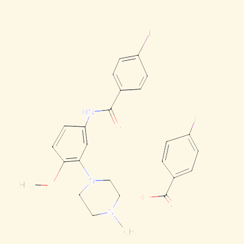 COc1ccc(NC(=O)c2ccc(I)cc2)cc1N1CCN(C)CC1.O=C(O)c1ccc(I)cc1